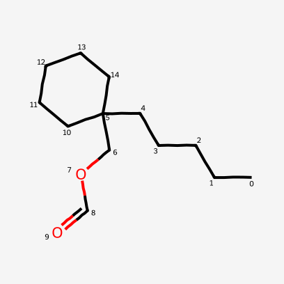 CCCCCC1(COC=O)CCCCC1